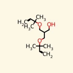 C=CC(C)(C)OCC(CO)COC(C)(C)C=C